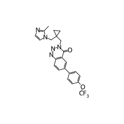 Cc1nccn1CC1(Cn2nnc3ccc(-c4ccc(OC(F)(F)F)cc4)cc3c2=O)CC1